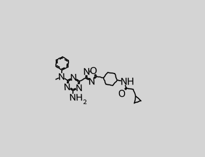 CN(c1ccccc1)c1nc(N)nc(-c2noc(C3CCC(NC(=O)CC4CC4)CC3)n2)n1